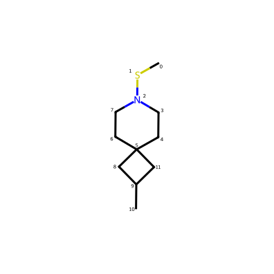 CSN1CCC2(CC1)CC(C)C2